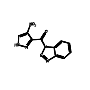 O=C(c1n[nH]cc1[N+](=O)[O-])n1nnc2ccccc21